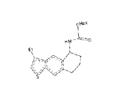 CCCCCCC(=O)NC1CCCc2cc3scc(CC)c3cc21